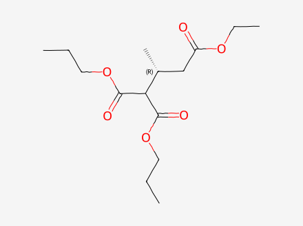 CCCOC(=O)C(C(=O)OCCC)[C@H](C)CC(=O)OCC